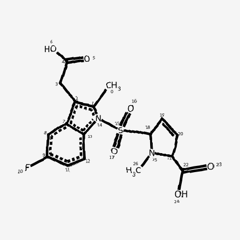 Cc1c(CC(=O)O)c2cc(F)ccc2n1S(=O)(=O)C1C=CC(C(=O)O)N1C